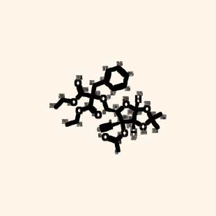 C#C[C@@]1(OC(C)=O)[C@@H](COC(Cc2ccccc2)(C(=O)OCC)C(=O)OCC)O[C@@H]2OC(C)(C)O[C@@H]21